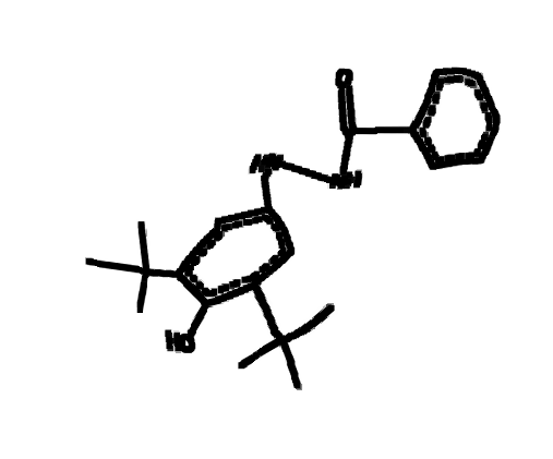 CC(C)(C)c1cc(NNC(=O)c2ccccc2)cc(C(C)(C)C)c1O